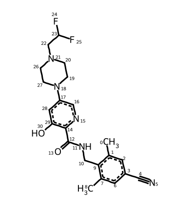 Cc1cc(C#N)cc(C)c1CNC(=O)c1ncc(N2CCN(CC(F)F)CC2)cc1O